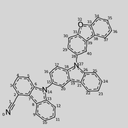 N#Cc1cccc2c1c1ccccc1n2-c1ccc2c(c1)c1ccccc1n2-c1ccc2oc3ccccc3c2c1